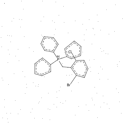 Clc1cccc(Br)c1C[PH](c1ccccc1)(c1ccccc1)c1ccccc1